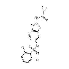 O=C(Nc1nc2ccc(OS(=O)(=O)c3c(Cl)cccc3Cl)cc2s1)C1CC1